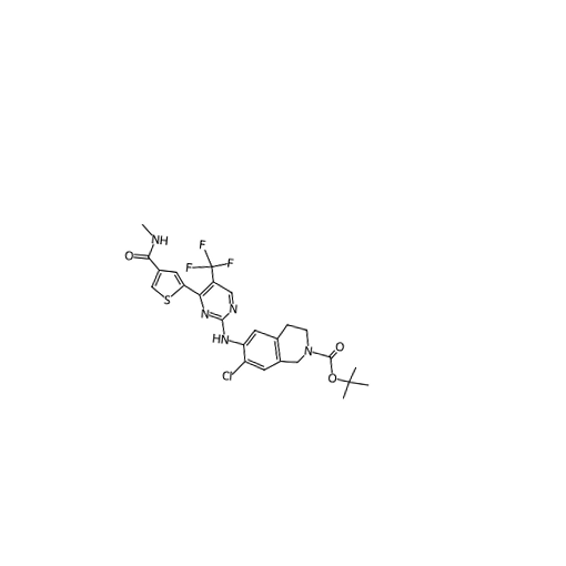 CNC(=O)c1csc(-c2nc(Nc3cc4c(cc3Cl)CN(C(=O)OC(C)(C)C)CC4)ncc2C(F)(F)F)c1